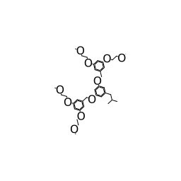 COCCOc1cc(COc2cc(CC(C)C)cc(OCc3cc(OCCOC)cc(OCCOC)c3)c2)cc(OCCOC)c1